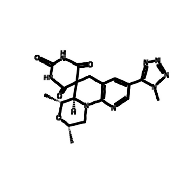 C[C@H]1CN2c3ncc(-c4nnnn4C)cc3CC3(C(=O)NC(=O)NC3=O)[C@@H]2[C@@H](C)O1